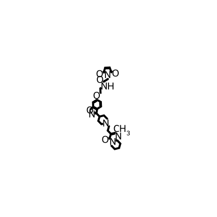 Cc1nc2n(c(=O)c1CCN1CCC(c3noc4cc(OCCNC(=O)CN5C(=O)C=CC5=O)ccc34)CC1)CCCC2